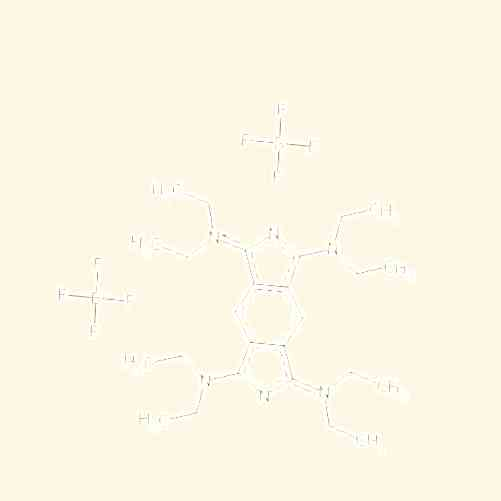 CCN(CC)c1nc(=[N+](CC)CC)c2cc3c(N(CC)CC)nc(=[N+](CC)CC)c3cc12.F[B-](F)(F)F.F[B-](F)(F)F